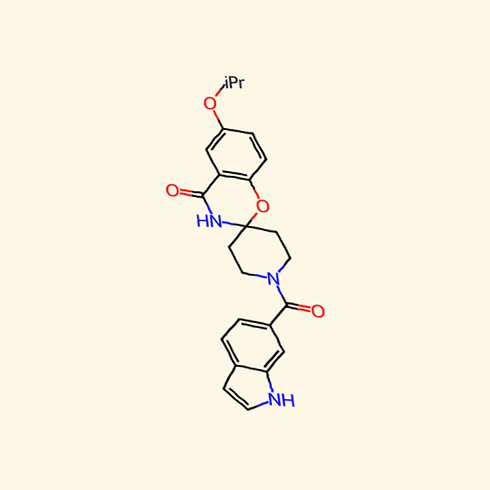 CC(C)Oc1ccc2c(c1)C(=O)NC1(CCN(C(=O)c3ccc4cc[nH]c4c3)CC1)O2